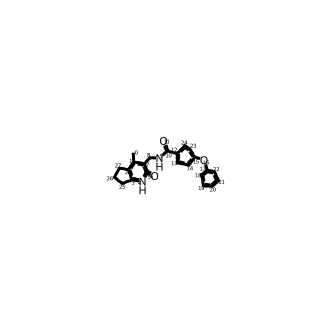 Cc1c2c([nH]c(=O)c1CNC(=O)c1ccc(Oc3ccccc3)cc1)CCC2